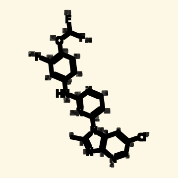 Cc1nc2ncc(Cl)cc2n1-c1cccc(Nc2ccc(OC(F)F)c(F)c2)n1